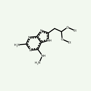 CCOC(Cc1nc2nc(N)nc(NN)c2[nH]1)OCC